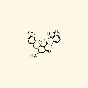 CCc1c(C(=O)Nc2cccc(C)c2C)c(=O)cc(C)n1Cc1ccc(C)cc1